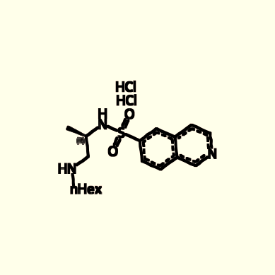 CCCCCCNC[C@@H](C)NS(=O)(=O)c1ccc2cnccc2c1.Cl.Cl